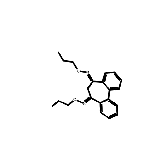 CCCON=C1CC(=NOCCC)c2ccccc2-c2ccccc21